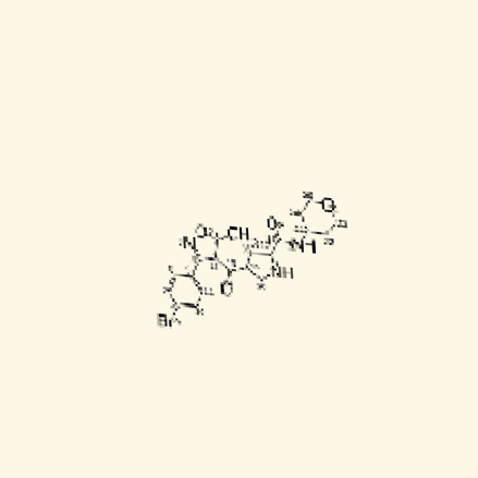 Cc1onc(-c2ccc(Br)cc2)c1C(=O)C1C=C(C(=O)NC2CCOCC2)NC1